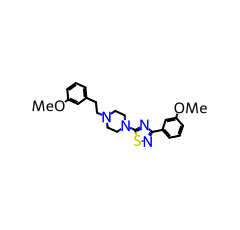 COc1cccc(CCN2CCN(c3nc(-c4cccc(OC)c4)ns3)CC2)c1